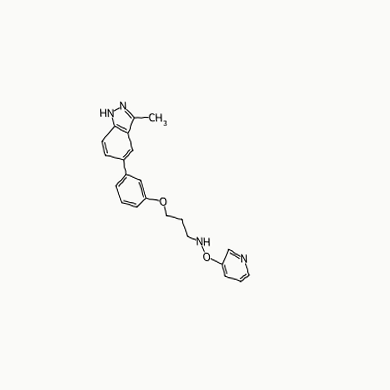 Cc1n[nH]c2ccc(-c3cccc(OCCCNOc4cccnc4)c3)cc12